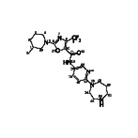 CC1CCCN(c2nc(C(F)(F)F)c(C(=O)Nc3ccc(N4CCCNCC4)nc3)o2)C1